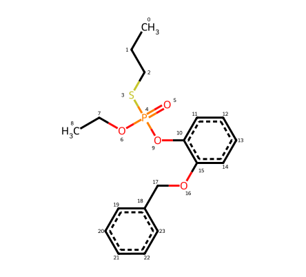 CCCSP(=O)(OCC)Oc1ccccc1OCc1ccccc1